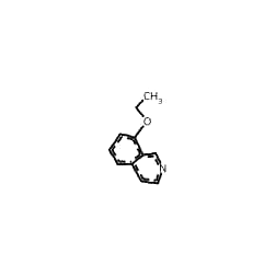 CCOc1cccc2ccncc12